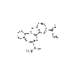 NC(=O)C1=CN2C(=C3CCC=CC3=C1)Cc1ccc(C(N)=O)cc12